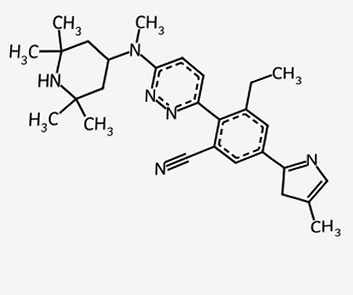 CCc1cc(C2=NC=C(C)C2)cc(C#N)c1-c1ccc(N(C)C2CC(C)(C)NC(C)(C)C2)nn1